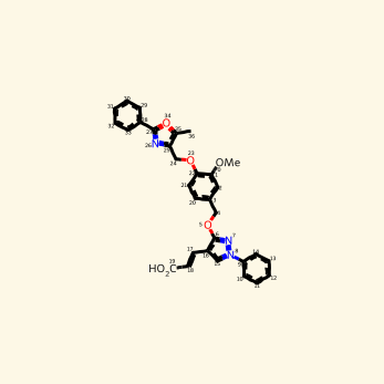 COc1cc(COc2nn(-c3ccccc3)cc2C=CC(=O)O)ccc1OCc1nc(-c2ccccc2)oc1C